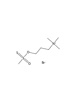 C[N+](C)(C)CCCOS(C)(=O)=S.[Br-]